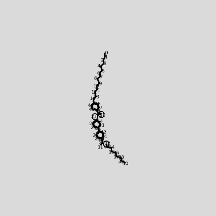 CCCCCCCCCCCCCCCc1ccc(C(=O)Oc2ccc(-c3ccc(C(C)OCCCCCCCC)cc3)cc2)cc1